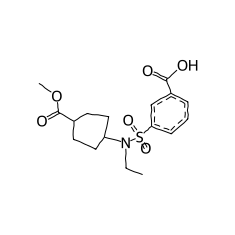 CCN(C1CCC(C(=O)OC)CC1)S(=O)(=O)c1cccc(C(=O)O)c1